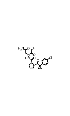 NC(=O)CN(NC(=O)[C@@H]1CCCN1C(=O)C1(c2ccc(Cl)cc2)CC1)C(=O)CF